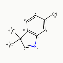 CC1(C)C=Nc2cc(C#N)ccc21